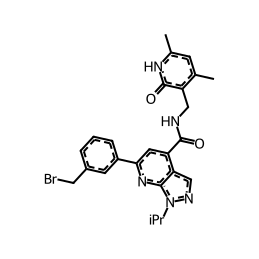 Cc1cc(C)c(CNC(=O)c2cc(-c3cccc(CBr)c3)nc3c2cnn3C(C)C)c(=O)[nH]1